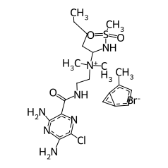 CCCCC(NS(C)(=O)=O)[N+](C)(C)CCNC(=O)c1nc(Cl)c(N)nc1N.Cc1ccc2cc1-2.[Br-]